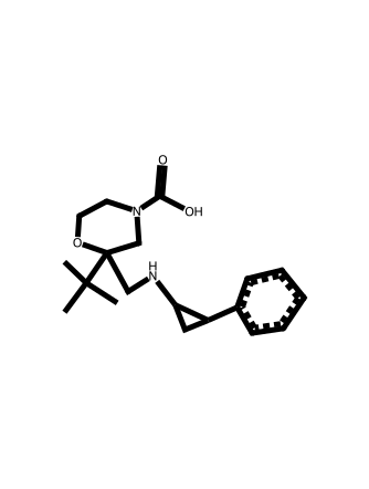 CC(C)(C)C1(CNC2CC2c2ccccc2)CN(C(=O)O)CCO1